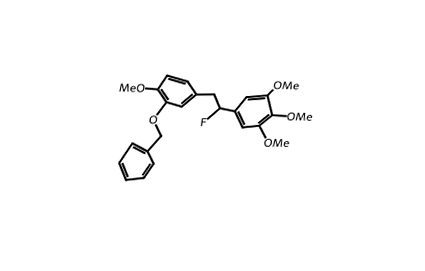 COc1ccc(CC(F)c2cc(OC)c(OC)c(OC)c2)cc1OCc1ccccc1